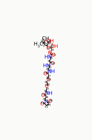 CCC(C)(C)CC(CO)OC(O)COC(=O)NCCC(=O)NCCNC(=O)CCOCCOCCNC(=O)CCN1C(=O)C=CC1=O